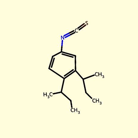 CCC(C)c1ccc(N=C=S)cc1C(C)CC